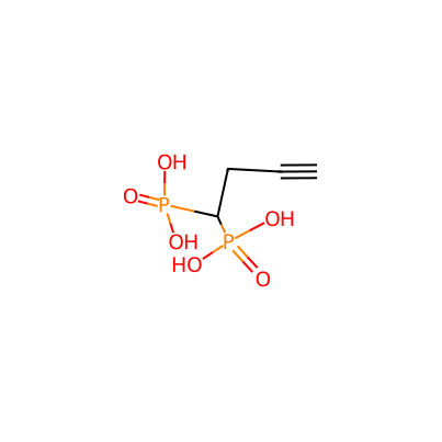 C#CCC(P(=O)(O)O)P(=O)(O)O